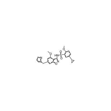 COc1ccc(C2CC2)cc1S(=O)(=O)Nc1noc2cc(Cn3cccn3)cc(OC)c12